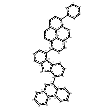 c1ccc(-c2ccc3ccc4c(-c5cccc6oc7c(-c8cc9ccccc9c9ccccc89)cccc7c56)ccc5ccc2c3c54)cc1